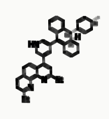 CCc1ccc2ccc3c(C4=CC(C5=C6C=CCC[C@@H]6[C@@H](C6=CC[C@@H](C)C=C6)c6ccccc65)=CNC4)cc(CC)nc3c2n1